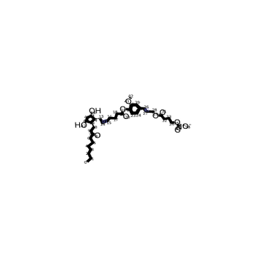 CCCCCCCC(=O)CC[C@@H]1[C@@H](C/C=C\CCCC(=O)Oc2ccc(/C=C/COC(=O)CCCO[N+](=O)[O-])cc2OC)[C@@H](O)C[C@H]1O